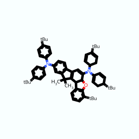 CC(C)(C)C1=CCC(N(C2=CCC(C(C)(C)C)C=C2)C2=CC3=C(C4c5cccc(C(C)(C)C)c5OC24)C(C)(C)c2cc(N(c4ccc(C(C)(C)C)cc4)c4ccc(C(C)(C)C)cc4)ccc23)C=C1